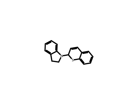 C1=CC(N2CCc3ccccc32)Sc2ccccc21